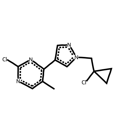 Cc1cnc(Cl)nc1-c1cnn(CC2(Cl)CC2)c1